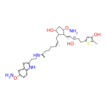 C=C(CCC/C=C\CC1C(O)CC(ON)C1/C=C/[C@@H](O)CCc1cc(O)c(C)s1)NCCc1cc2cc(ON)ccc2[nH]1